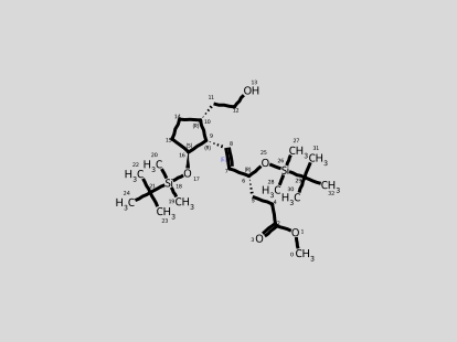 COC(=O)CC[C@H](/C=C/[C@H]1[C@@H](CCO)CC[C@@H]1O[Si](C)(C)C(C)(C)C)O[Si](C)(C)C(C)(C)C